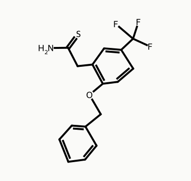 NC(=S)Cc1cc(C(F)(F)F)ccc1OCc1ccccc1